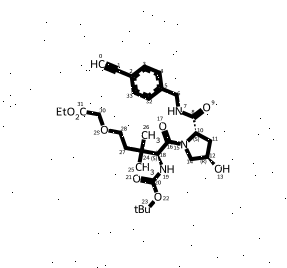 C#Cc1ccc(CNC(=O)[C@@H]2C[C@@H](O)CN2C(=O)[C@@H](NC(=O)OC(C)(C)C)C(C)(C)CCOCC(=O)OCC)cc1